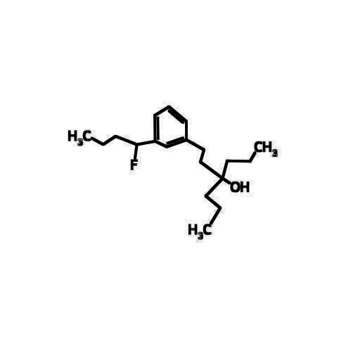 CCCC(F)c1cccc(CCC(O)(CCC)CCC)c1